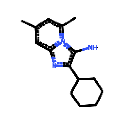 Cc1cc(C)n2c([NH])c(C3CCCCC3)nc2c1